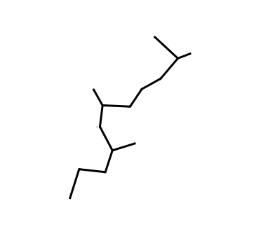 CCCC(C)[CH]C(C)CCCC(C)C